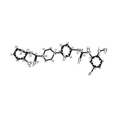 CCOc1ccc(F)cc1NC(=O)Nc1ccc(N2CCN(C(=O)Nc3ncccc3C(F)(F)F)CC2)nc1